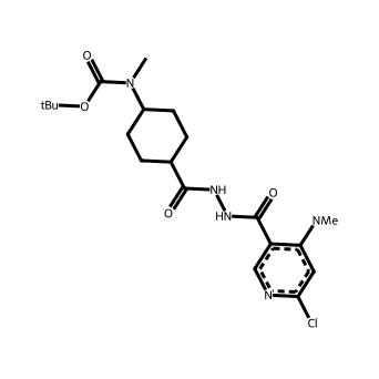 CNc1cc(Cl)ncc1C(=O)NNC(=O)C1CCC(N(C)C(=O)OC(C)(C)C)CC1